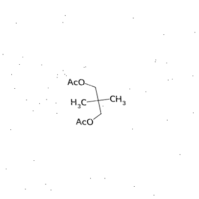 CC(=O)OCC(C)(C)COC(C)=O